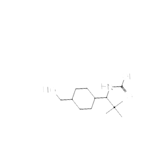 CC(C)(C)C(NC(=O)O)C1CCC(CO)CC1